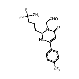 O=CCN1C(=O)C=C(c2ccc(C(F)(F)F)cc2)NC1CCCC(F)(F)P